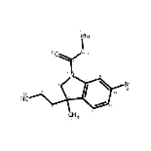 CC(C)(C)OC(=O)N1CC(C)(CCC#N)c2ccc(Br)cc21